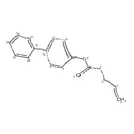 C=CCCC(=O)Oc1ccc(-c2ccccc2)cc1